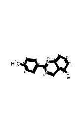 Cc1ccc(-c2ncc3c(F)cccc3n2)cc1